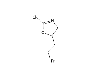 CC(C)CCC1CN=C(Cl)O1